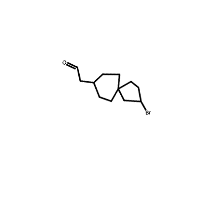 O=CCC1CCC2(CCC(Br)C2)CC1